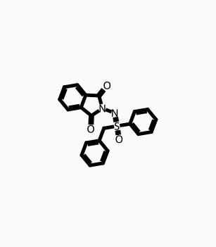 O=C1c2ccccc2C(=O)N1N=S(=O)(Cc1ccccc1)c1ccccc1